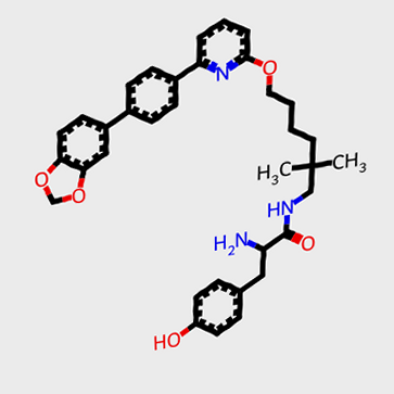 CC(C)(CCCCOc1cccc(-c2ccc(-c3ccc4c(c3)OCO4)cc2)n1)CNC(=O)C(N)Cc1ccc(O)cc1